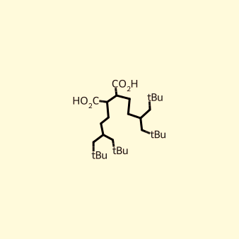 CC(C)(C)CC(CCC(C(=O)O)C(CCC(CC(C)(C)C)CC(C)(C)C)C(=O)O)CC(C)(C)C